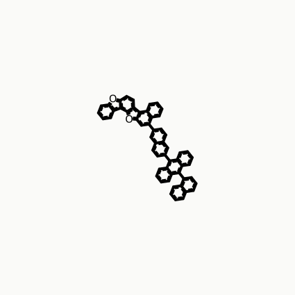 c1ccc2c(-c3c4ccccc4c(-c4ccc5cc(-c6cc7oc8c(ccc9oc%10ccccc%10c98)c7c7ccccc67)ccc5c4)c4ccccc34)cccc2c1